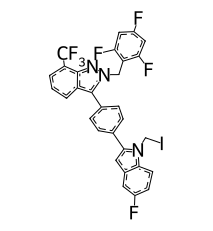 Fc1cc(F)c(Cn2nc3c(C(F)(F)F)cccc3c2-c2ccc(-c3cc4cc(F)ccc4n3CI)cc2)c(F)c1